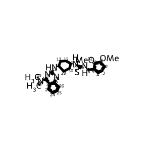 COc1cccc(CNC(=S)N[C@H]2CC[C@@H](Nc3nc(N(C)C)c4ccccc4n3)CC2)c1OC